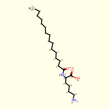 CCCCCCCCCCCCCCCC(=O)NC(CCCCN)C(=O)O